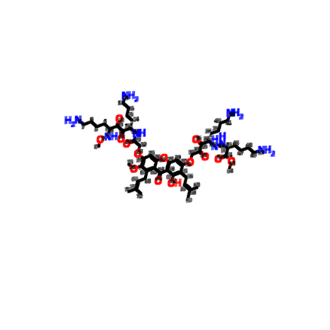 CON[C@@H](CCCCN)C(=O)C(=O)[C@H](CCCCN)NC(=O)COc1cc2oc3cc(OCC(=O)C(=O)[C@H](CCCCN)NN[C@@H](CCCCN)C(=O)OC)c(CC=C(C)C)c(O)c3c(=O)c2c(CC=C(C)C)c1OC